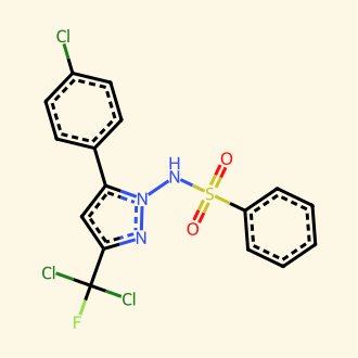 O=S(=O)(Nn1nc(C(F)(Cl)Cl)cc1-c1ccc(Cl)cc1)c1ccccc1